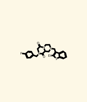 CCc1sc2ccccc2c1CN1CCN2C(=O)CN(Cc3ccc(F)cc3)C(=O)C2C1